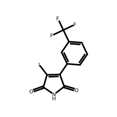 O=C1NC(=O)C(c2cccc(C(F)(F)F)c2)=C1I